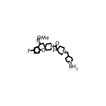 BN1CCC(CN2CCC(F)(C(=O)N3CCC4(CC3)C/C(=N\OC)c3cc(F)ccc3O4)CC2)CC1